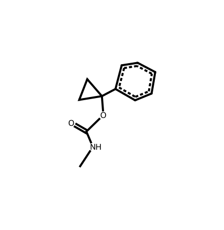 CNC(=O)OC1(c2ccccc2)CC1